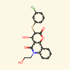 O=c1oc2c(c(O)c1Sc1cccc(Cl)c1)c(=O)n(CCO)c1ccccc21